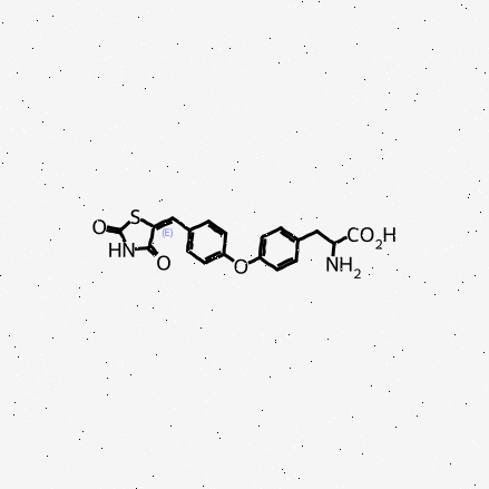 NC(Cc1ccc(Oc2ccc(/C=C3/SC(=O)NC3=O)cc2)cc1)C(=O)O